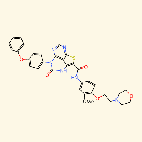 COc1cc(NC(=O)c2sc3ncnc4c3c2NC(=O)N4c2ccc(Oc3ccccc3)cc2)ccc1OCCN1CCOCC1